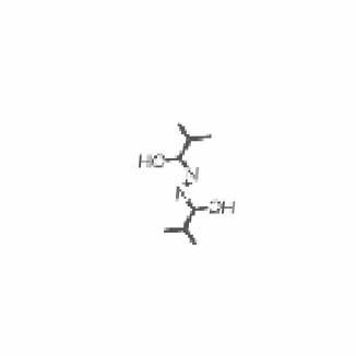 CC(C)C(O)/N=N/C(O)C(C)C